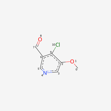 COc1cncc(C=O)c1Cl